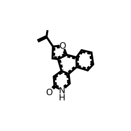 C=C(C)c1cc2c3cc(=O)[nH]cc3c3ccccc3c2o1